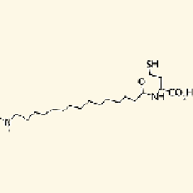 CN(C)CCCCCCCCCCCCCCC(=O)NC(CCS)C(=O)O